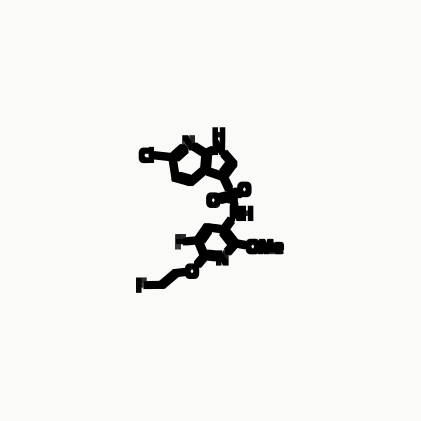 COc1nc(OCCF)c(F)cc1NS(=O)(=O)c1c[nH]c2nc(Cl)ccc12